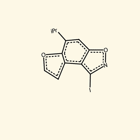 CC(C)c1cc2onc(I)c2c2ccoc12